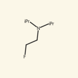 CC(C)N(CCF)C(C)C